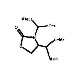 CCCCCCCCC(CCCCCCC)N1C(=O)OCC1C(CCCCCC)CCCCCC